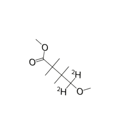 [2H]C([2H])(OC)C(C)(C)C(C)(C)C(=O)OC